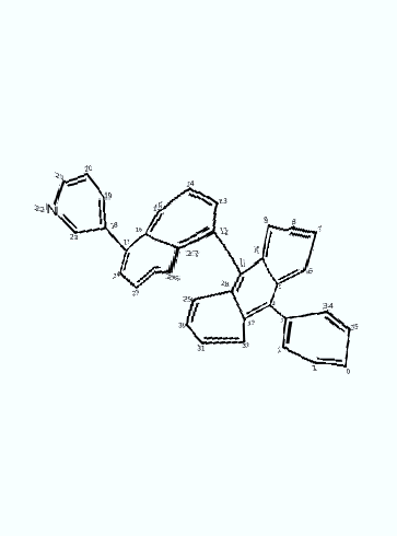 c1ccc(-c2c3ccccc3c(-c3cccc4c(-c5cccnc5)cccc34)c3ccccc23)cc1